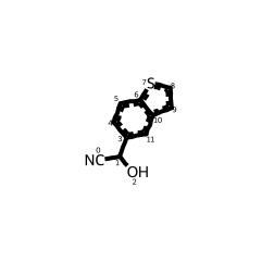 N#CC(O)c1ccc2sccc2c1